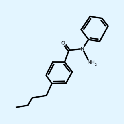 CCCCc1ccc(C(=O)N(N)c2ccccc2)cc1